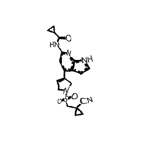 N#CC1(CS(=O)(=O)N2CC=C(c3cc(NC(=O)C4CC4)nc4[nH]ccc34)C2)CC1